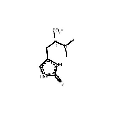 CN(C)[C@@H](Cc1c[nH]c(=S)[nH]1)C(=O)O